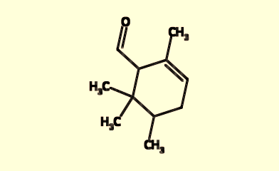 CC1=CCC(C)C(C)(C)C1C=O